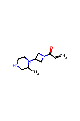 C=CC(=O)N1CC(N2CCNCC2C)C1